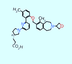 Cc1ccc(OCc2ccc3c(c2C)CCN(C2COC2)CC3)c(-c2cccc(N3CC[C@@H](CCC(=O)O)C3)n2)c1